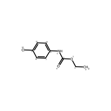 CCOC(=O)Nc1c[c]c(Cl)cc1